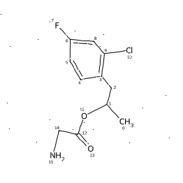 CC(Cc1ccc(F)cc1Cl)OC(=O)CN